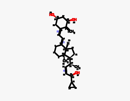 C=C1/C(=C\C=C2/CCC[C@]3(C)[C@@H]([C@H](C)/C=C\[C@@H](O)C4CC4)CC[C@@H]23)C[C@H](O)C[C@H]1O